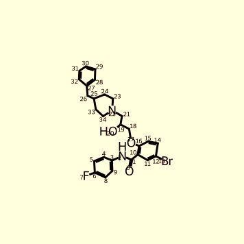 O=C(Nc1ccc(F)cc1)c1cc(Br)ccc1OCC(O)CN1CCC(Cc2ccccc2)CC1